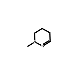 CN1CCCC=N1